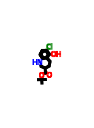 CC(C)(C)OC(=O)C1CCc2c(ccc(Cl)c2O)NC1